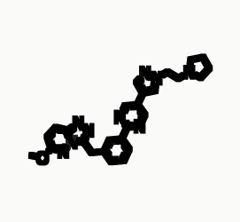 COc1ccc2nnc(Cc3cccc(-c4ncc(-c5cnn(CCN6CCCC6)c5)cn4)c3)n2n1